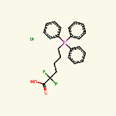 O=C(O)C(F)(F)CCCC[P+](c1ccccc1)(c1ccccc1)c1ccccc1.[Br-]